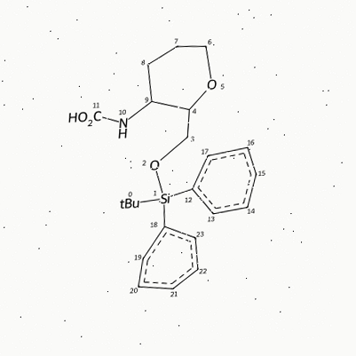 CC(C)(C)[Si](OCC1OCCCC1NC(=O)O)(c1ccccc1)c1ccccc1